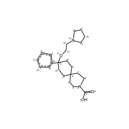 O=C(O)N1CCC2(CC1)CCC(OCCN1CCCC1)(c1cccnc1)CC2